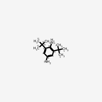 CC(C)(C)c1cc(N)cc(C(C)(C)C)c1N